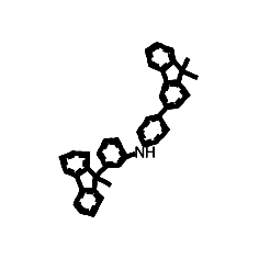 CC1(C)c2ccccc2-c2cc(-c3ccc(Nc4cccc(C5(C)c6ccccc6-c6ccccc65)c4)cc3)ccc21